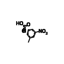 Cc1cccc([N+](=O)[O-])c1.O=[SH](=O)O